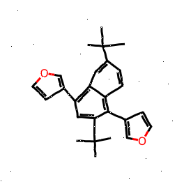 CC(C)(C)c1ccc2c(-c3ccoc3)c(C(C)(C)C)cc(-c3ccoc3)c2c1